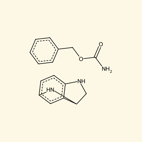 NC(=O)OCc1ccccc1.c1cc2c3cc1NC3CN2